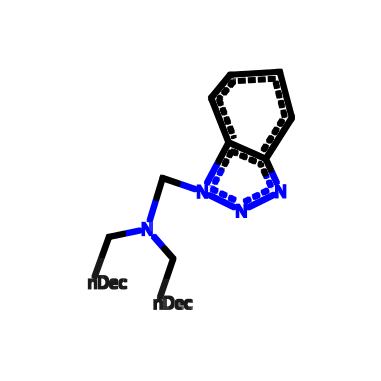 CCCCCCCCCCCN(CCCCCCCCCCC)Cn1nnc2ccccc21